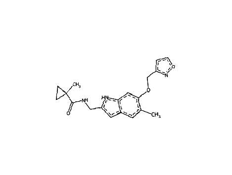 Cc1cc2cc(CNC(=O)C3(C)CC3)[nH]c2cc1OCc1ccon1